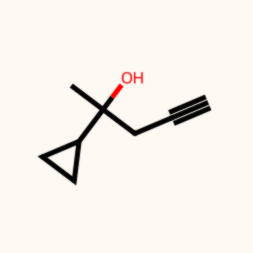 C#CCC(C)(O)C1CC1